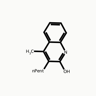 CCCCCc1c(O)nc2ccccc2c1C